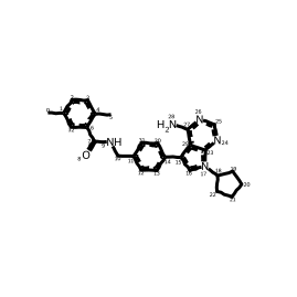 Cc1ccc(C)c(C(=O)NCc2ccc(-c3cn(C4CCCC4)c4ncnc(N)c34)cc2)c1